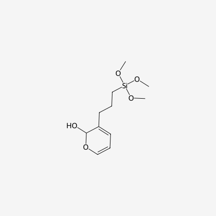 CO[Si](CCCC1=CC=COC1O)(OC)OC